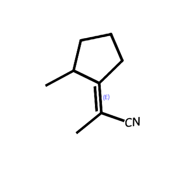 C/C(C#N)=C1/CCCC1C